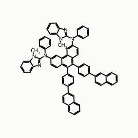 Cn1c(N(c2ccccc2)c2ccc3c(-c4ccc(-c5ccc6ccccc6c5)cc4)c(-c4ccc(-c5ccc6ccccc6c5)cc4)c4ccc(N(c5ccccc5)c5nc6ccccc6n5C)cc4c3c2)nc2ccccc21